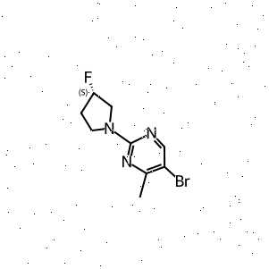 Cc1nc(N2CC[C@H](F)C2)ncc1Br